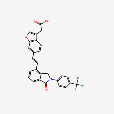 O=C(O)Cc1coc2cc(/C=C/c3cccc4c3CN(c3ccc(C(F)(F)F)cc3)C4=O)ccc12